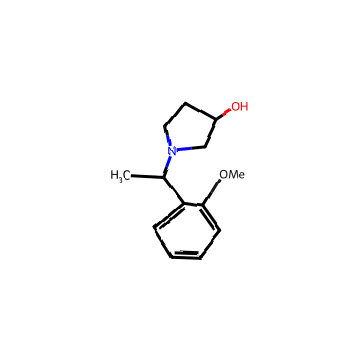 COc1ccccc1C(C)N1CCC(O)C1